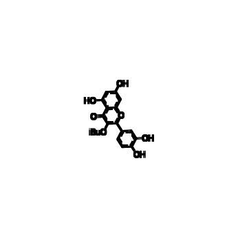 CC(C)COc1c(-c2ccc(O)c(O)c2)oc2cc(O)cc(O)c2c1=O